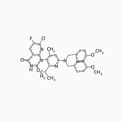 COc1ccc(CN(Cc2ccc(OC)cc2)c2cc(C)c(-n3c(=O)[nH]c(=O)c4cc(F)c(Cl)nc43)c(C(C)C)n2)cc1